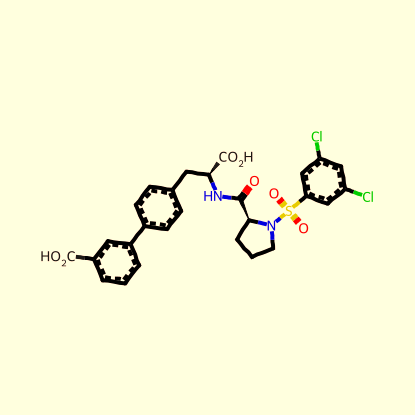 O=C(O)c1cccc(-c2ccc(C[C@H](NC(=O)[C@@H]3CCCN3S(=O)(=O)c3cc(Cl)cc(Cl)c3)C(=O)O)cc2)c1